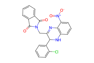 O=C1c2ccccc2C(=O)N1CC1=Nc2c(cccc2[N+](=O)[O-])NC1c1ccccc1Cl